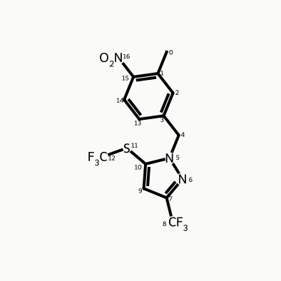 Cc1cc(Cn2nc(C(F)(F)F)cc2SC(F)(F)F)ccc1[N+](=O)[O-]